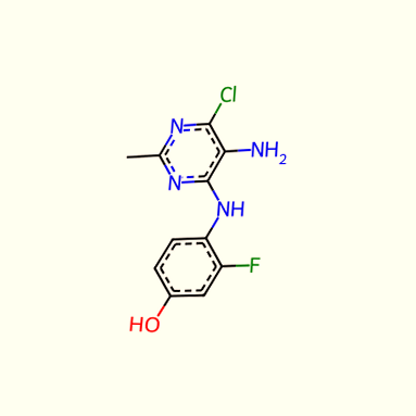 Cc1nc(Cl)c(N)c(Nc2ccc(O)cc2F)n1